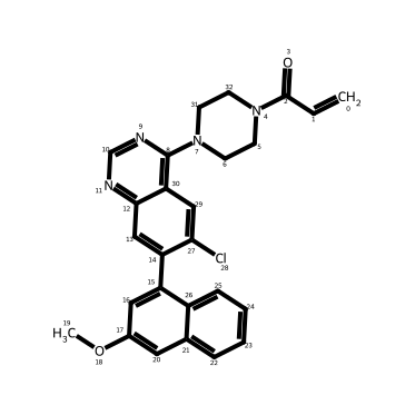 C=CC(=O)N1CCN(c2ncnc3cc(-c4cc(OC)cc5ccccc45)c(Cl)cc23)CC1